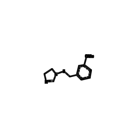 COc1cccc(CSN2C=NCC2)c1